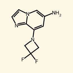 Nc1cc(N2CC(F)(F)C2)c2nccn2c1